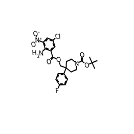 CC(C)(C)OC(=O)N1CCC(COC(=O)c2cc(Cl)cc([N+](=O)[O-])c2N)(c2ccc(F)cc2)CC1